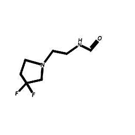 O=[C]NCCN1CCC(F)(F)C1